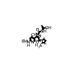 CC[C@@H](C)Nc1cc(C)c(-c2sc(C(=O)N[C@@H]3C[C@H]3O)nc2C(=O)N2CCC[C@@H]2C)cn1